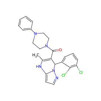 CC1=C(C(=O)N2CCN(c3ccccc3)CC2)C(c2cccc(Cl)c2Cl)n2nccc2N1